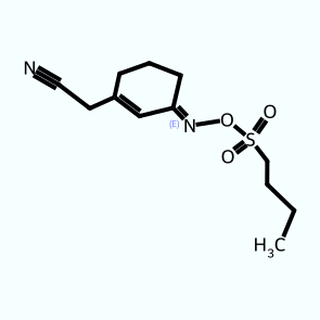 CCCCS(=O)(=O)O/N=C1/C=C(CC#N)CCC1